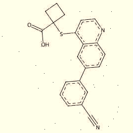 N#Cc1cccc(-c2ccc3nccc(SC4(C(=O)O)CCC4)c3c2)c1